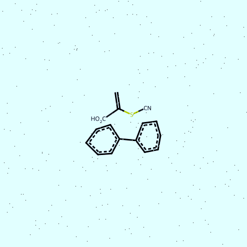 C=C(SC#N)C(=O)O.c1ccc(-c2ccccc2)cc1